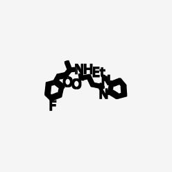 CCn1c(CCC(=O)NC(C)c2cc3ccc(F)cc3o2)nc2ccccc21